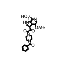 COc1cnc(C(=O)O)c2c1C(C(=O)C(=O)N1CCN(C(=O)c3ccccc3)CC1)CN2